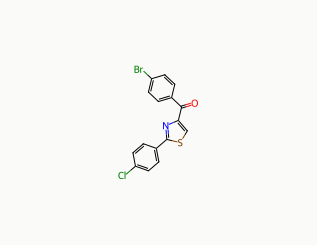 O=C(c1ccc(Br)cc1)c1csc(-c2ccc(Cl)cc2)n1